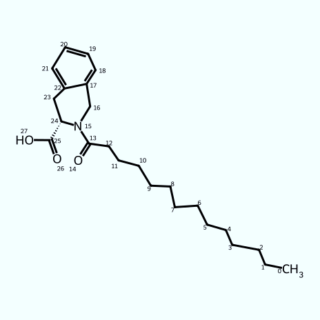 CCCCCCCCCCCCCC(=O)N1Cc2ccccc2C[C@H]1C(=O)O